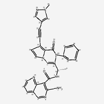 C[C@H](NC(=O)c1c(N)ncc2cccnc12)c1cn2ccc(C#Cc3cnn(C)c3)c2c(=O)n1-c1ccccc1